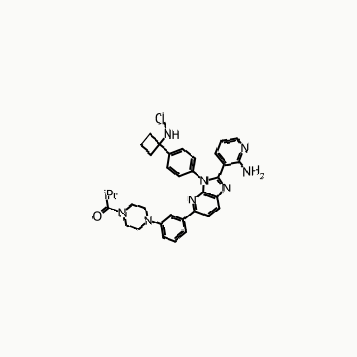 CC(C)C(=O)N1CCN(c2cccc(-c3ccc4nc(-c5cccnc5N)n(-c5ccc(C6(NCl)CCC6)cc5)c4n3)c2)CC1